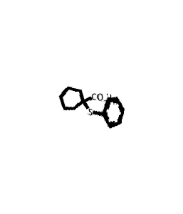 O=C(O)C1(Sc2ccccc2)CCCCC1